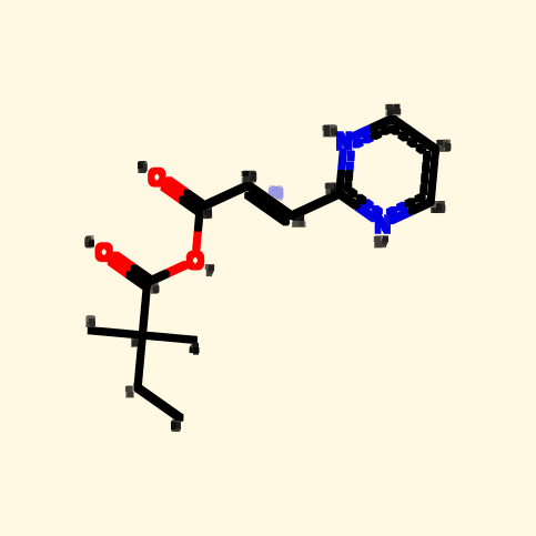 CCC(C)(C)C(=O)OC(=O)/C=C/c1ncccn1